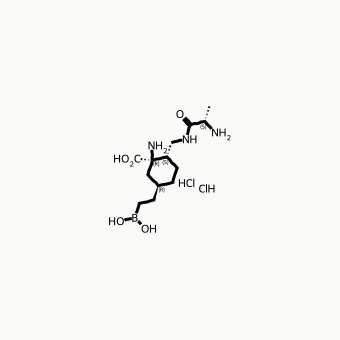 C[C@H](N)C(=O)NC[C@@H]1CC[C@@H](CCB(O)O)C[C@]1(N)C(=O)O.Cl.Cl